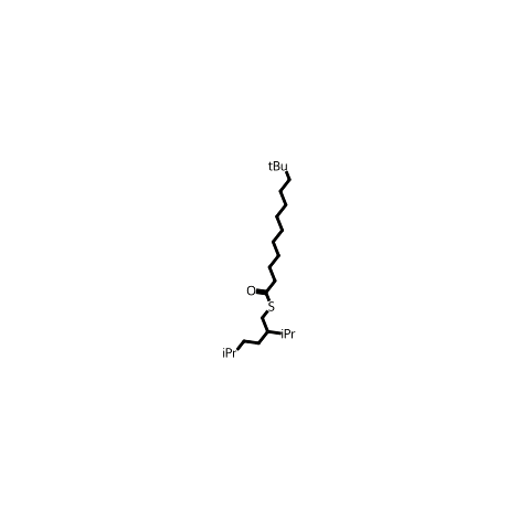 CC(C)CCC(CSC(=O)CCCCCCCCCC(C)(C)C)C(C)C